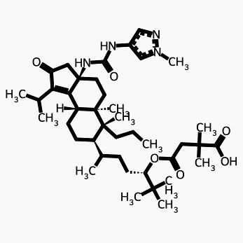 CCC[C@]1(C)[C@@H](C(C)CC[C@H](OC(=O)CC(C)(C)C(=O)O)C(C)(C)C)CC[C@@H]2C3=C(C(C)C)C(=O)C[C@]3(NC(=O)Nc3cnn(C)c3)CC[C@]21C